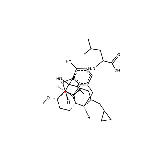 CC(C)CC(N)C(=O)O.CO[C@@]12CC[C@@]3(C[C@@H]1[C@](C)(O)C(C)(C)C)[C@H]1Cc4ccc(O)c5c4[C@@]3(CCN1CC1CC1)[C@H]2O5